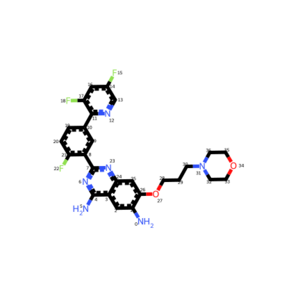 Nc1cc2c(N)nc(-c3cc(-c4ncc(F)cc4F)ccc3F)nc2cc1OCCCN1CCOCC1